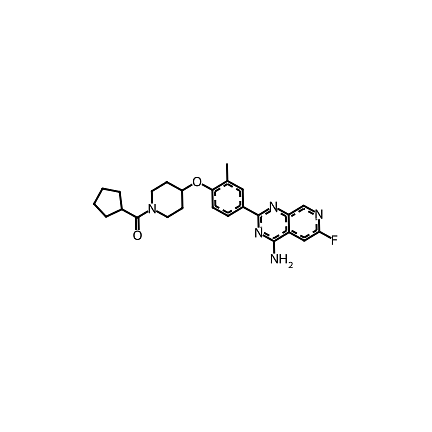 Cc1cc(-c2nc(N)c3cc(F)ncc3n2)ccc1OC1CCN(C(=O)C2CCCC2)CC1